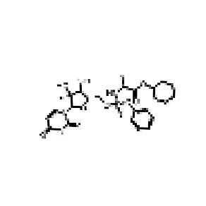 C[C@H](N[P@@](=O)(OC[C@H]1O[C@@H](n2ccc(=O)[nH]c2=S)[C@](C)(O)C1O)Oc1ccccc1)C(=O)OC1CCCCC1